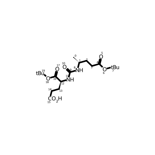 C[C@H](CCC(=O)OC(C)(C)C)NC(=O)N[C@@H](CCC(=O)O)C(=O)OC(C)(C)C